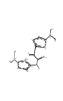 CC(C(=O)C(C)c1ccc(N(C)C)s1)c1ccc(N(C)C)s1